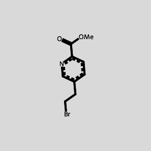 COC(=O)c1ccc(CCBr)cn1